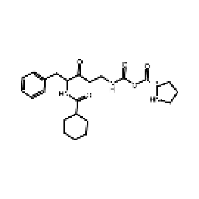 O=C(NCCC(=O)C(Cc1ccccc1)NC(=O)C1CCCCC1)OC(=O)[C@@H]1CCCN1